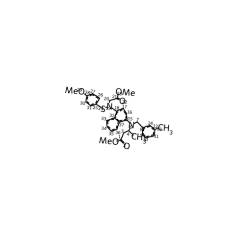 COC(=O)CC(C)N(Cc1cccc(C)c1)c1ccc(N(CC(=O)OC)Sc2ccc(OC)cc2)c2ccccc12